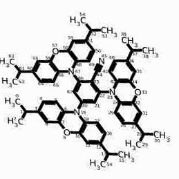 CC(C)c1ccc2c(c1)Oc1cc(C(C)C)ccc1N2c1cc(N2c3ccc(C(C)C)cc3Oc3cc(C(C)C)ccc32)c(C#N)c(N2c3ccc(C(C)C)cc3Oc3cc(C(C)C)ccc32)c1